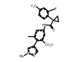 Cc1cc(NC(=O)C2(c3ccc(C(F)(F)F)cc3F)CC2)cc(C(=O)O)c1-c1cnn(C(C)(C)C)c1